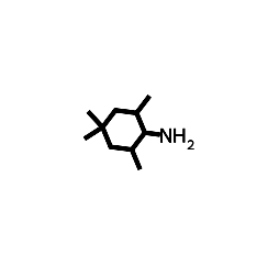 CC1CC(C)(C)CC(C)C1N